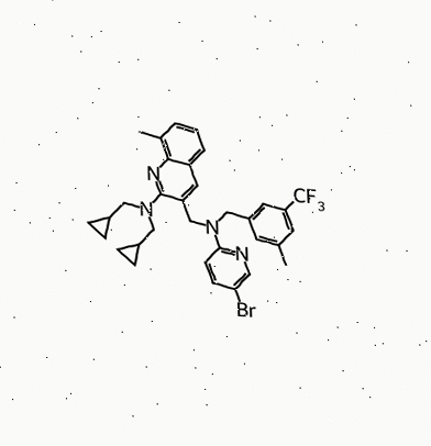 Cc1cc(CN(Cc2cc3cccc(C)c3nc2N(CC2CC2)CC2CC2)c2ccc(Br)cn2)cc(C(F)(F)F)c1